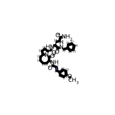 COc1ccc(/C=C/C(=O)N[C@H]2CCCCC3CC[C@@H](C(=O)N[C@@H](CCC(N)=O)C(=O)NCc4ccccc4)N3C2=O)cc1